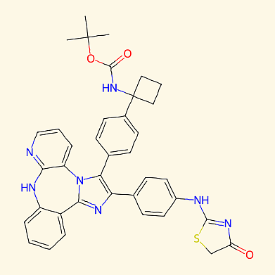 CC(C)(C)OC(=O)NC1(c2ccc(-c3c(-c4ccc(NC5=NC(=O)CS5)cc4)nc4n3-c3cccnc3Nc3ccccc3-4)cc2)CCC1